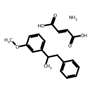 COc1cccc(C(C)Cc2ccccc2)c1.N.O=C(O)C=CC(=O)O